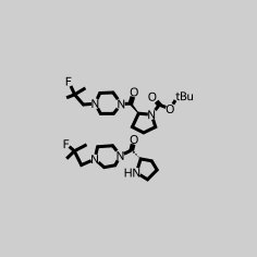 CC(C)(F)CN1CCN(C(=O)[C@@H]2CCCN2)CC1.CC(C)(F)CN1CCN(C(=O)[C@@H]2CCCN2C(=O)OC(C)(C)C)CC1